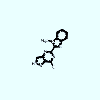 Cn1c(-c2nc(Cl)c3n[nH]cc3n2)nc2ccccc21